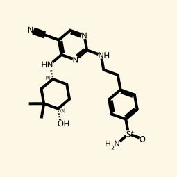 CC1(C)C[C@H](Nc2nc(NCCc3ccc([S+](N)[O-])cc3)ncc2C#N)CC[C@@H]1O